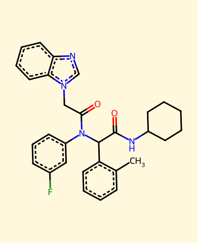 Cc1ccccc1C(C(=O)NC1CCCCC1)N(C(=O)Cn1cnc2ccccc21)c1cccc(F)c1